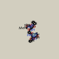 CN[C@@H](C)C(=O)N[C@H](C(=O)N1C[C@@H](NC(=O)c2cccc(C(=O)NCC[C@H](NC(=O)[C@@H](NC(=O)[C@H](C)N(C)Cl)C(C)C)C(=O)N[C@H](C)c3ccccc3)c2)C[C@H]1C(=O)N[C@@H]1CCCc2ccccc21)C(C)(C)C